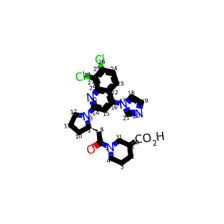 O=C(O)C1CCCN(C(=O)C[C@@H]2CCCN2c2cc(-n3ccnc3)c3ccc(Cl)c(Cl)c3n2)C1